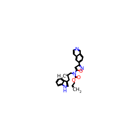 C=CCOC(=O)N(C[C@@H](C)Cc1c[nH]c2ccccc12)c1cc(-c2ccc3cnccc3c2)no1